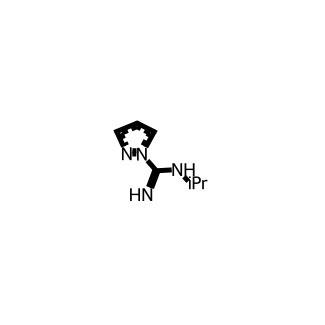 CC(C)NC(=N)n1cccn1